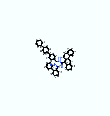 NC(NC(NCc1ccc(-c2ccc(-c3ccccc3)cc2)cc1)c1c2ccccc2cc2c1ccc1ccccc12)c1ccccc1-c1ccccc1